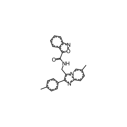 Cc1ccc(-c2nc3ccc(C)cn3c2CNC(=O)c2onc3ccccc23)cc1